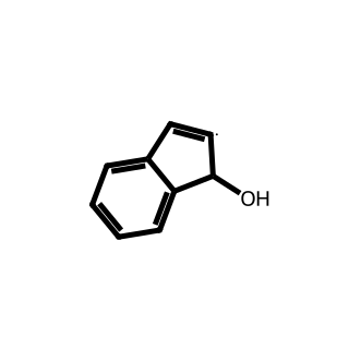 OC1[C]=Cc2ccccc21